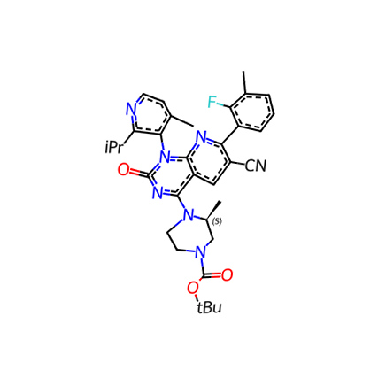 Cc1cccc(-c2nc3c(cc2C#N)c(N2CCN(C(=O)OC(C)(C)C)C[C@@H]2C)nc(=O)n3-c2c(C)ccnc2C(C)C)c1F